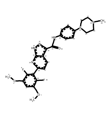 COc1cc(OC)c(F)c(-c2ccc3c(C(=O)Nc4ccc(N5CCN(C)CC5)cc4)n[nH]c3n2)c1F